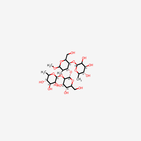 COC1OC(CO)[C@@H](O[C@@H]2OC(C)[C@@H](O)[C@H](O)C2O)[C@H](O[C@@H]2OC(CO)[C@H](O)[C@H](O)C2O[C@@H]2OC(C)[C@@H](O)[C@H](O)C2O)C1C